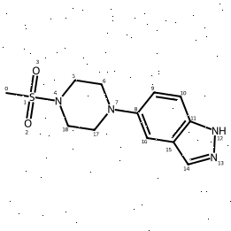 CS(=O)(=O)N1CCN(c2ccc3[nH]ncc3c2)CC1